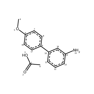 CC(=O)O.COc1ccc(-c2cccc(N)c2)cc1